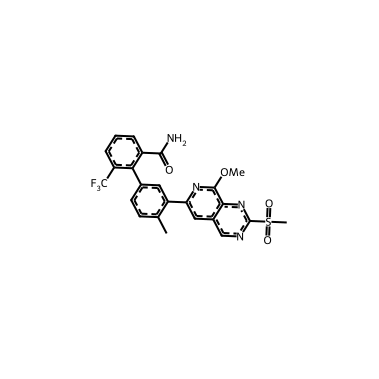 COc1nc(-c2cc(-c3c(C(N)=O)cccc3C(F)(F)F)ccc2C)cc2cnc(S(C)(=O)=O)nc12